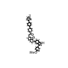 COc1ccc(-c2n[nH]c3ccc(N4CC[C@]5(CCN(CC(=O)N6CC=C(c7ccc(-c8ncn(C)n8)cc7)CC6)C5)C4=O)nc23)cn1